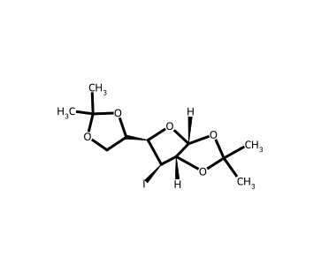 CC1(C)OCC([C@H]2O[C@@H]3OC(C)(C)O[C@@H]3[C@H]2I)O1